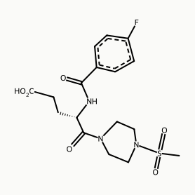 CS(=O)(=O)N1CCN(C(=O)[C@H](CCC(=O)O)NC(=O)c2ccc(F)cc2)CC1